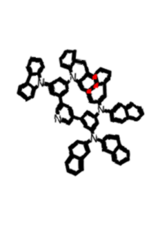 c1ccc2c(c1)Cc1ccccc1N2c1cc(-c2cncc(-c3cc(N(c4ccc5ccccc5c4)c4ccc5ccccc5c4)cc(N(c4ccc5ccccc5c4)c4ccc5ccccc5c4)c3)c2)cc(-n2c3ccccc3c3ccccc32)c1